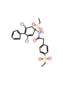 CCS(=O)(=O)c1ccc(CC(=O)NC2(S(=O)(=O)CC)C=C(Cl)C(c3ccccc3)=C(Cl)C2)cc1